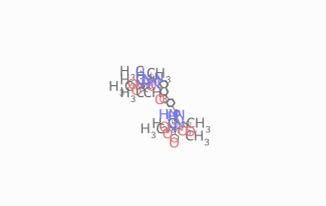 CCC(C)N(C(=O)[C@@H](NC(=O)OC)C(C)C)[C@@H](C)c1nc2ccc3cc4c(cc3c2[nH]1)OCc1cc(-c2cnc([C@H](C)N(C[C@H](C)COC)C(=O)[C@@H](NC(=O)OC)C3CCOCC3)[nH]2)ccc1-4